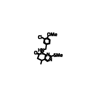 COc1ccc(CNN2C(=O)CC(C)c3cnc(SC)nc32)cc1Cl